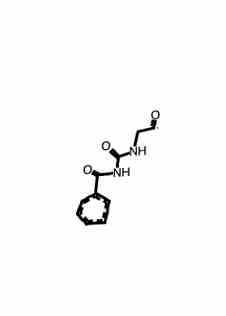 O=[C]CNC(=O)NC(=O)c1ccccc1